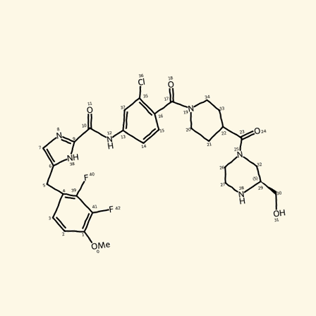 COc1ccc(Cc2cnc(C(=O)Nc3ccc(C(=O)N4CCC(C(=O)N5CCN[C@H](CO)C5)CC4)c(Cl)c3)[nH]2)c(F)c1F